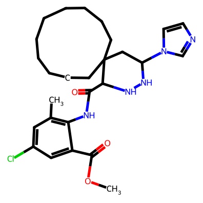 COC(=O)c1cc(Cl)cc(C)c1NC(=O)C1NNC(n2ccnc2)CC12CCCCCCCCCC2